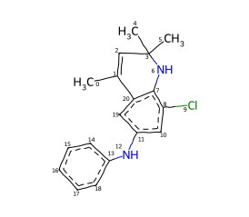 CC1=CC(C)(C)Nc2c(Cl)cc(Nc3ccccc3)cc21